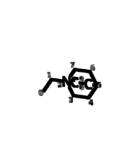 CC[N+]12CCC(CC1)CC2